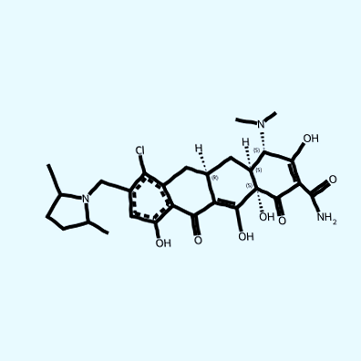 CC1CCC(C)N1Cc1cc(O)c2c(c1Cl)C[C@H]1C[C@H]3[C@H](N(C)C)C(O)=C(C(N)=O)C(=O)[C@@]3(O)C(O)=C1C2=O